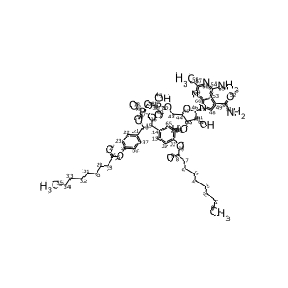 CCCCCCCCC(=O)Oc1ccc(COP(=O)(OCc2ccc(OC(=O)CCCCCCCC)cc2)OP(=O)(O)OCC2OC(n3cc(C(N)=O)c4c(N)nc(C)nc43)[C@H](O)[C@@H]2O)cc1